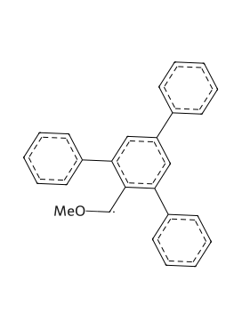 CO[CH]c1c(-c2ccccc2)cc(-c2ccccc2)cc1-c1ccccc1